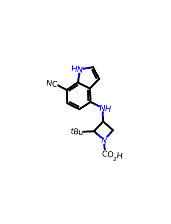 CC(C)(C)C1C(Nc2ccc(C#N)c3[nH]ccc23)CN1C(=O)O